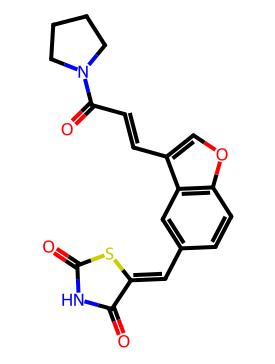 O=C1NC(=O)C(=Cc2ccc3occ(C=CC(=O)N4CCCC4)c3c2)S1